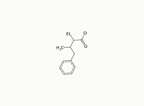 CCC(C([O])=O)C(C)Cc1ccccc1